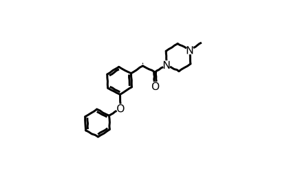 CN1CCN(C(=O)[CH]c2cccc(Oc3ccccc3)c2)CC1